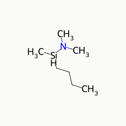 CCCC[SiH](C)N(C)C